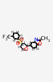 Cc1nc2cc(C3CC(S(=O)(=O)c4cccc(C(F)(F)F)c4)CCO3)ccc2o1